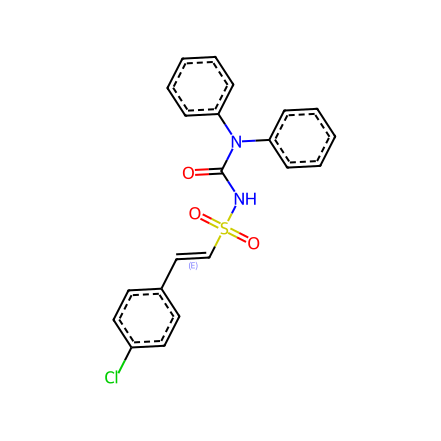 O=C(NS(=O)(=O)/C=C/c1ccc(Cl)cc1)N(c1ccccc1)c1ccccc1